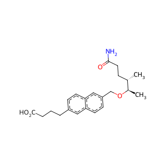 C[C@@H](CCC(N)=O)[C@@H](C)OCc1ccc2cc(CCCC(=O)O)ccc2c1